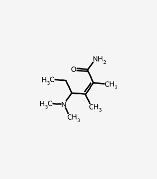 CCC(C(C)=C(C)C(N)=O)N(C)C